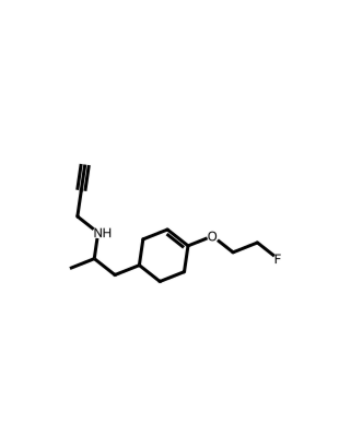 C#CCNC(C)CC1CC=C(OCCF)CC1